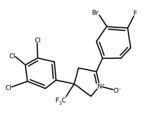 [O-][N+]1=C(c2ccc(F)c(Br)c2)CC(c2cc(Cl)c(Cl)c(Cl)c2)(C(F)(F)F)C1